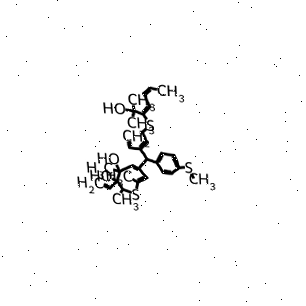 C=C/C(=C\CS/C(=C/C=C\C)C(C)(C)O)C(C1=C/C(C)(O)C(O)(C=C)C(C)S\C(C)=C\1)c1ccc(SC)cc1